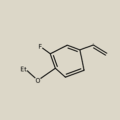 C=[C]c1ccc(OCC)c(F)c1